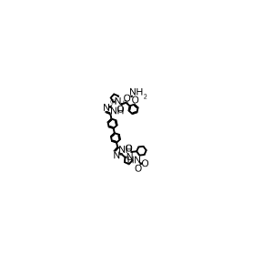 COC(=O)NC1CCCCC1C(=O)N1CCCC1c1ncc(-c2ccc(-c3ccc(-c4cnc([C@@H]5CCCN5C(=O)[C@H](OC(N)=O)c5ccccc5)[nH]4)cc3)cc2)[nH]1